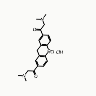 CN(C)CC(=O)c1ccc2c(c1)Cc1cc(C(=O)CN(C)C)ccc1O2.Cl.Cl